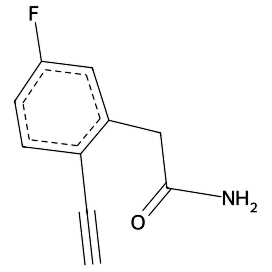 C#Cc1ccc(F)cc1CC(N)=O